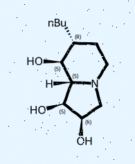 CCCC[C@@H]1CCN2C[C@@H](O)[C@@H](O)[C@@H]2[C@H]1O